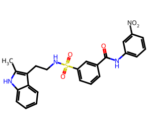 Cc1[nH]c2ccccc2c1CCNS(=O)(=O)c1cccc(C(=O)Nc2cccc([N+](=O)[O-])c2)c1